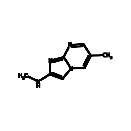 CNc1cn2cc(C)cnc2n1